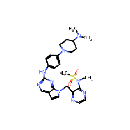 CN(C)C1CCN(c2ccc(Nc3ncc4ccn(Cc5nccnc5N(C)S(C)(=O)=O)c4n3)cc2)CC1